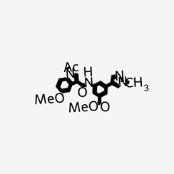 COC(=O)c1cc(NC(=O)c2cn(C(C)=O)c3ccc(OC)cc23)cc(-c2cnn(C)c2)c1